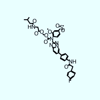 COc1cc(S(C)(=O)=O)ccc1N(C(=O)OCOC(=O)CNC(=O)CC(C)C)c1nc2ccc(-c3ccc(NC(=O)Cc4ccc(F)cc4)cc3)cn2n1